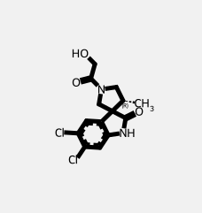 C[C@H]1CN(C(=O)CO)CC12C(=O)Nc1cc(Cl)c(Cl)cc12